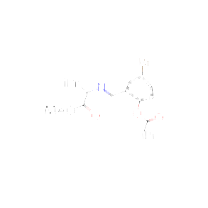 COC(=O)C(N=Cc1cc(Br)ccc1OC(=O)C(C)C)C(C)C